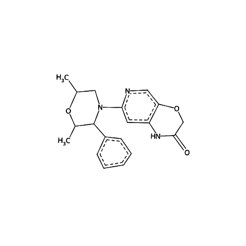 CC1CN(c2cc3c(cn2)OCC(=O)N3)C(c2ccccc2)C(C)O1